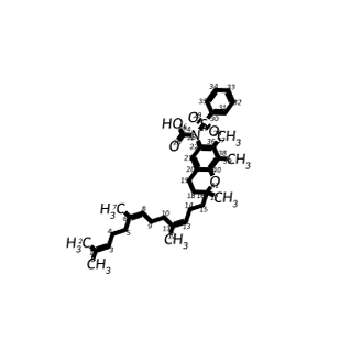 CC(C)=CCCC(C)=CCCC(C)=CCCC1(C)CCc2cc(N(C(=O)O)S(=O)(=O)c3ccccc3)c(C)c(C)c2O1